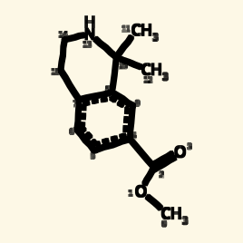 COC(=O)c1ccc2c(c1)C(C)(C)NCC2